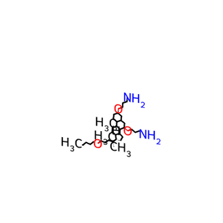 CCCCCOCCC[C@@H](C)[C@H]1CCC2C3[C@H](OCCCN)CC4C[C@H](OCCCN)CC[C@]4(C)[C@H]3CC[C@@]21C